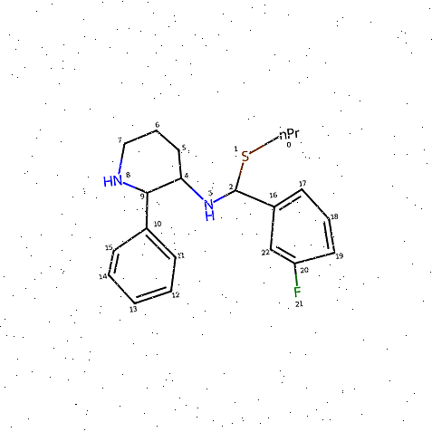 CCCSC(NC1CCCNC1c1ccccc1)c1cccc(F)c1